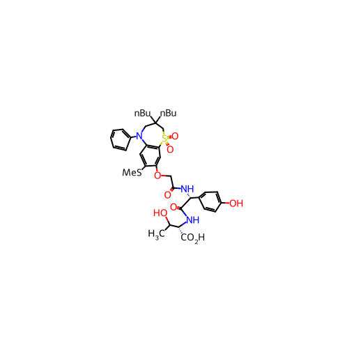 CCCCC1(CCCC)CN(c2ccccc2)c2cc(SC)c(OCC(=O)N[C@@H](C(=O)N[C@H](C(=O)O)C(C)O)c3ccc(O)cc3)cc2S(=O)(=O)C1